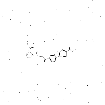 CC(C)(C)OC(=O)N1CCC[C@H]1C(=O)OCC(=O)c1ccc2c(c1)oc1cc(C(=O)CBr)ccc12